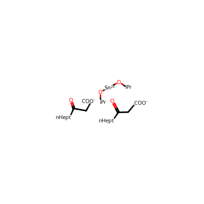 CC(C)[O][Sn+2][O]C(C)C.CCCCCCCC(=O)CC(=O)[O-].CCCCCCCC(=O)CC(=O)[O-]